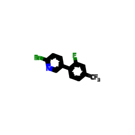 Fc1cc(C(F)(F)F)ccc1-c1ccc(Br)nc1